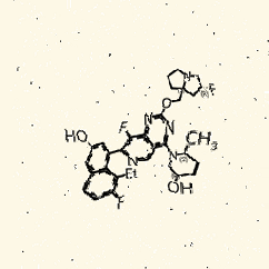 CCc1c(F)ccc2cc(O)cc(-c3ncc4c(N5C[C@H](O)CC[C@@H]5C)nc(OC[C@@]56CCCN5C[C@H](F)C6)nc4c3F)c12